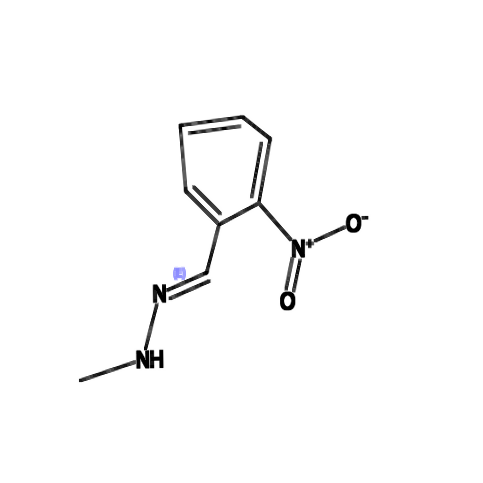 CN/N=C/c1ccccc1[N+](=O)[O-]